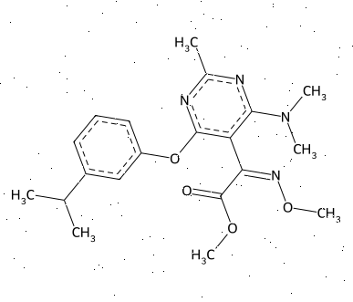 CON=C(C(=O)OC)c1c(Oc2cccc(C(C)C)c2)nc(C)nc1N(C)C